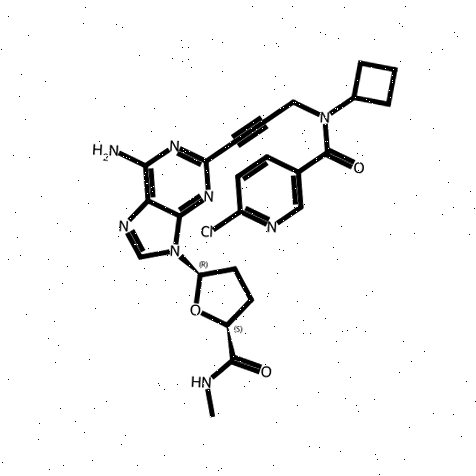 CNC(=O)[C@@H]1CC[C@H](n2cnc3c(N)nc(C#CCN(C(=O)c4ccc(Cl)nc4)C4CCC4)nc32)O1